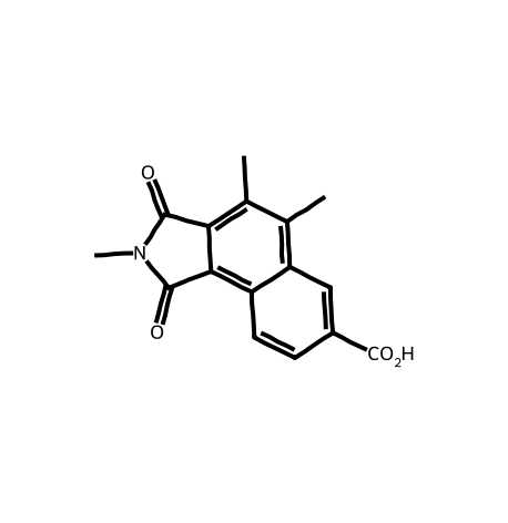 Cc1c2c(c3ccc(C(=O)O)cc3c1C)C(=O)N(C)C2=O